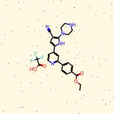 CCOC(=O)c1ccc(-c2cc(-c3cc(C#N)c(N4CCNCC4)[nH]3)ccn2)cc1.O=C(O)C(F)(F)F